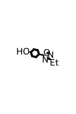 CCc1noc(-c2ccc(O)cc2)n1